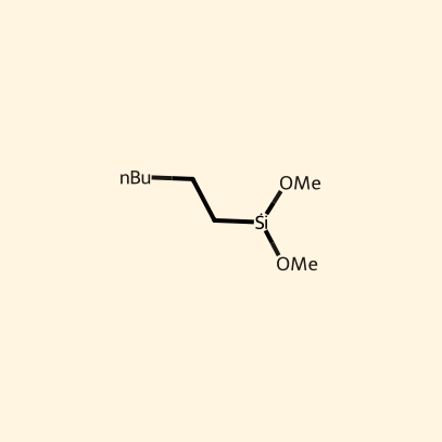 CCCCCC[Si](OC)OC